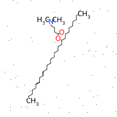 CCCCCC=CCC=CCCCCCCCCCC(CCCCCCCCC)OC(=O)CCCN(C)C